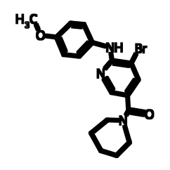 COc1ccc(Nc2ncc(C(=O)N3CCCCC3)cc2Br)cc1